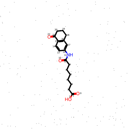 O=C(O)CCCCCCC(=O)Nc1ccc2c(c1)CCCC2=O